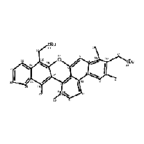 Cc1cc2c(cc3c4c([n+](C)ccc42)-c2c(c(CC(C)(C)C)c4ccccc4c2C)O3)c(C)c1CC(C)(C)C